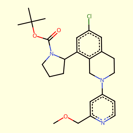 COCc1cc(N2CCc3cc(Cl)cc(C4CCCN4C(=O)OC(C)(C)C)c3C2)ccn1